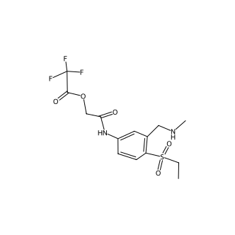 CCS(=O)(=O)c1ccc(NC(=O)COC(=O)C(F)(F)F)cc1CNC